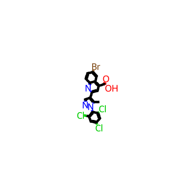 Cc1c(-c2cc(C(=O)O)c3cc(Br)ccc3n2)cnn1-c1c(Cl)cc(Cl)cc1Cl